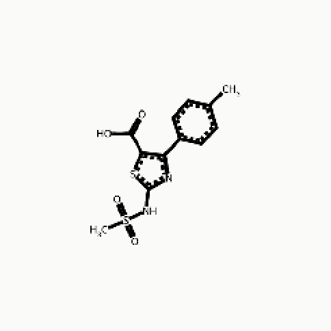 Cc1ccc(-c2nc(NS(C)(=O)=O)sc2C(=O)O)cc1